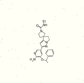 CCNC(=O)N1CCC2(CCn3nc(-c4cnc(N)c(OC(C)c5ccccc5)c4)cc32)C1